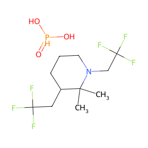 CC1(C)C(CC(F)(F)F)CCCN1CC(F)(F)F.O=[PH](O)O